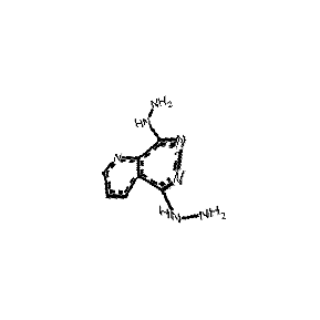 NNc1nnc(NN)c2ncccc12